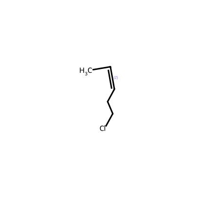 C/C=C\CCCl